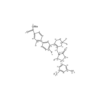 COC(=O)c1ccc(-c2ccc(F)c(C3=C(CN4C(=O)O[C@H](c5cc(C(F)(F)F)cc(C(F)(F)F)c5)C4C)CC(C)(C)CC3)c2)c(C)c1